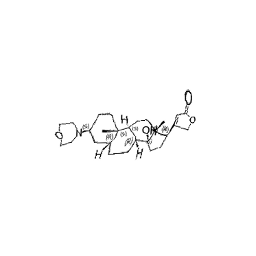 C[C@]12CC[C@H](N3CCOCC3)C[C@H]1CC[C@@H]1[C@@H]2CC[C@]2(C)[C@@H](C3=CC(=O)OC3)CC[C@]12O